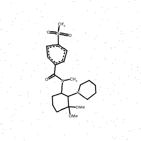 COC1(OC)CCCC(N(C)C(=O)c2ccc(S(C)(=O)=O)cc2)C1N1CCCCC1